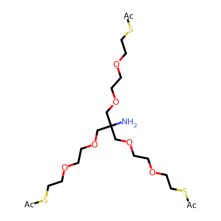 CC(=O)SCCOCCOCC(N)(COCCOCCSC(C)=O)COCCOCCSC(C)=O